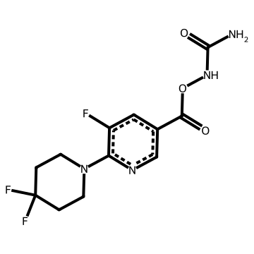 NC(=O)NOC(=O)c1cnc(N2CCC(F)(F)CC2)c(F)c1